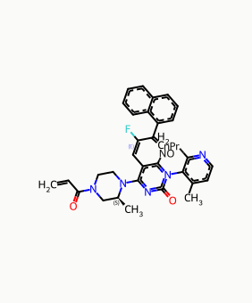 C=CC(=O)N1CCN(c2nc(=O)n(-c3c(C)ccnc3CCC)c(N=O)c2/C=C(/F)C(=C)c2cccc3ccccc23)[C@@H](C)C1